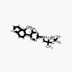 [2H]C([2H])([2H])OC(C)(C)CNc1nnc(-c2ccc3sccc3c2O)c(C)n1